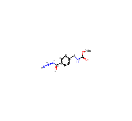 CC(C)(C)OC(=O)NCc1ccc(C(=O)N=[N+]=[N-])cc1